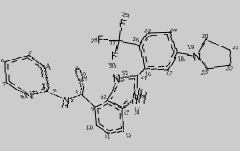 O=C(Nc1ccccn1)c1cccc2[nH]c(-c3cc(N4CCCC4)ccc3C(F)(F)F)nc12